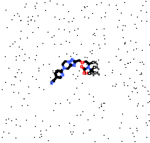 CC(COCc1nc2n(n1)CCN(c1ccc(C#N)cn1)C2)N(C(=O)O)C(C)(C)C